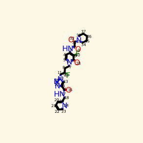 O=C(Nc1ccn(CCC(F)Cn2cc(C(=O)NCc3ccccn3)nn2)c(=O)c1F)C(=O)N1CCCCC1